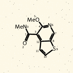 CNC(=O)c1c(OC)ncc2sccc12